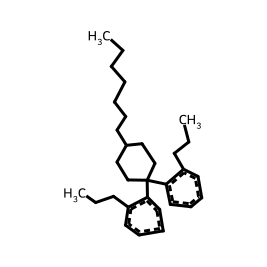 CCCCCCCC1CCC(c2ccccc2CCC)(c2ccccc2CCC)CC1